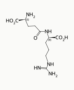 N=C(N)NCCC[C@@H](NC(=O)CC[C@H](N)C(=O)O)C(=O)O